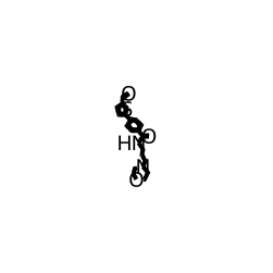 O=Cc1ccc(-c2ccc(C(=O)NCCCN3CCOCC3)cc2)s1